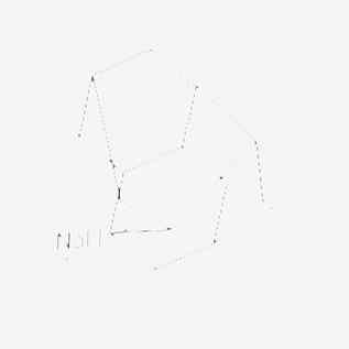 C1C2CC3C4CC5CC(C14)C(C2)C3C5.[NaH]